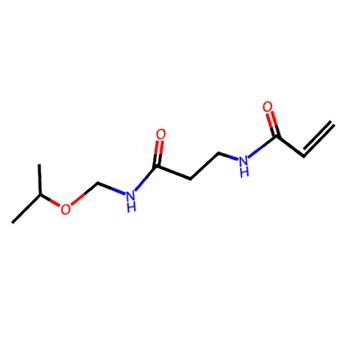 C=CC(=O)NCCC(=O)NCOC(C)C